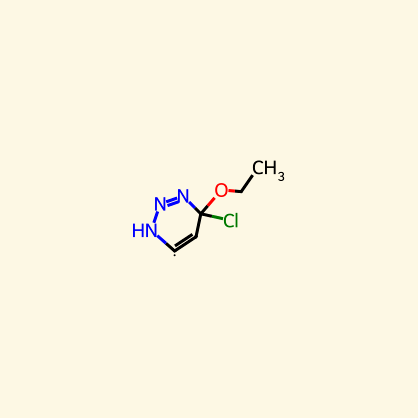 CCOC1(Cl)C=[C]NN=N1